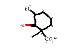 CCC1CCCC(C)(C(=O)O)C1=O